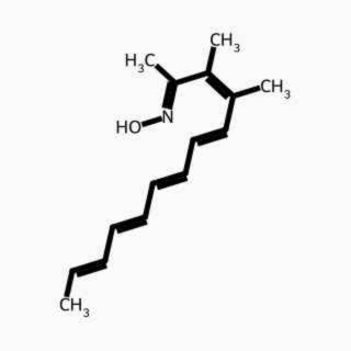 CC=CC=CC=CC=CC(C)=C(C)C(C)=NO